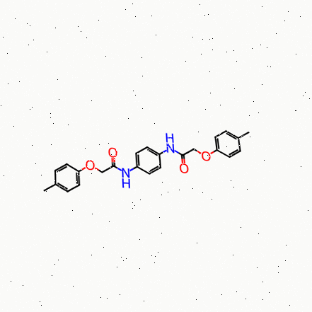 Cc1ccc(OCC(=O)Nc2ccc(NC(=O)COc3ccc(C)cc3)cc2)cc1